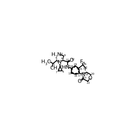 CC(C)CN(C1CC1)[C@@H](CN)C(=O)Nc1ccc(N2CCOCC2=O)c(C(F)F)c1